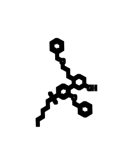 CCCCCCC(C)(C)c1ccc(C2CC(O)CCC2CCCOCc2ccccc2)c(OCc2ccccc2)c1